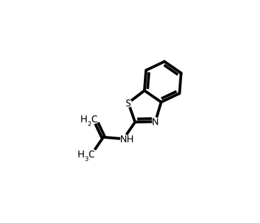 C=C(C)Nc1nc2ccccc2s1